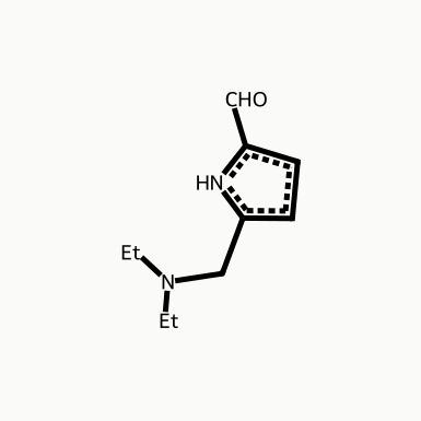 CCN(CC)Cc1ccc(C=O)[nH]1